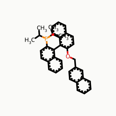 CC(C)P(c1ccc2ccccc2c1-c1c(OCc2ccc3ccccc3c2)ccc2ccccc12)C(C)C